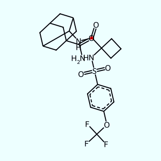 NC(=O)C12CC3CC(C1)C(NC(=O)C1(NS(=O)(=O)c4ccc(OC(F)(F)F)cc4)CCC1)C(C3)C2